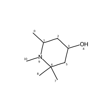 CC1CC(O)CC(C)(C)N1C